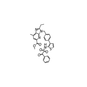 CCc1nc2c(C)cc(C(=O)OC)nc2n1Cc1ccc(-c2ccsc2NS(=O)(=O)C(=O)c2ccccc2)cc1